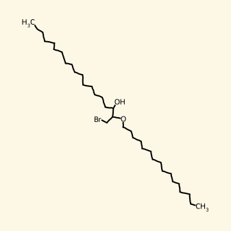 CCCCCCCCCCCCCCCCOC(CBr)C(O)CCCCCCCCCCCCCCCC